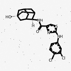 O=C(N[C@H]1C2CC3CC1C[C@](O)(C3)C2)c1csc(Nc2ccc(Cl)c(Cl)c2)n1